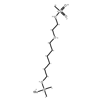 CC(C)(C)[Si](C)(C)OCCCCCCOCCOS(C)(=O)=O